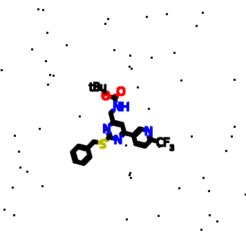 CC(C)(C)OC(=O)NCc1cc(-c2ccc(C(F)(F)F)nc2)nc(SCc2ccccc2)n1